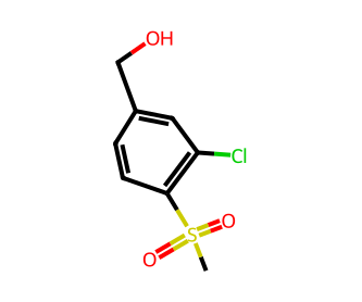 CS(=O)(=O)c1ccc(CO)cc1Cl